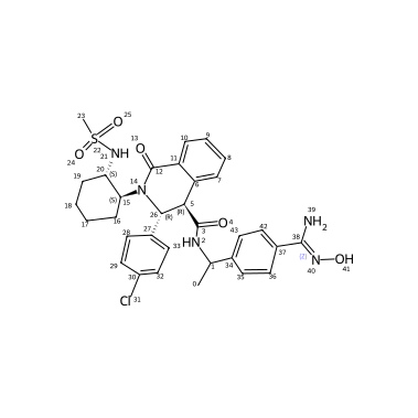 CC(NC(=O)[C@@H]1c2ccccc2C(=O)N([C@H]2CCCC[C@@H]2NS(C)(=O)=O)[C@H]1c1ccc(Cl)cc1)c1ccc(/C(N)=N/O)cc1